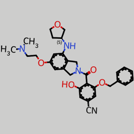 CN(C)CCOc1cc2c(c(N[C@H]3CCOC3)c1)CN(C(=O)c1c(O)cc(C#N)cc1OCc1ccccc1)C2